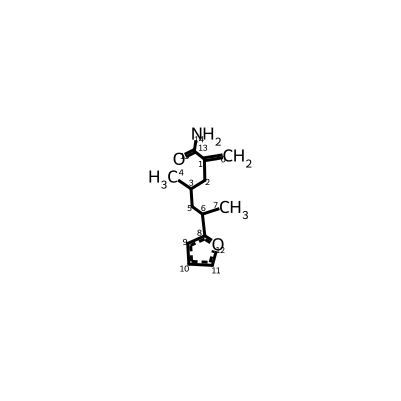 C=C(CC(C)CC(C)c1ccco1)C(N)=O